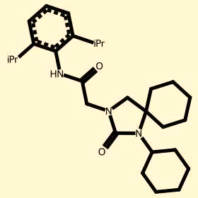 CC(C)c1cccc(C(C)C)c1NC(=O)CN1CC2(CCCCC2)N(C2CCCCC2)C1=O